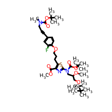 COC(=O)c1nc(N(CC(CO[Si](C)(C)C(C)(C)C)OC)C(=O)OC(C)(C)C)sc1CCCOc1ccc(C#CCN(C)C(=O)OC(C)(C)C)cc1F